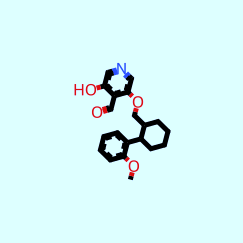 COc1ccccc1C1CCCCC1COc1cncc(O)c1C=O